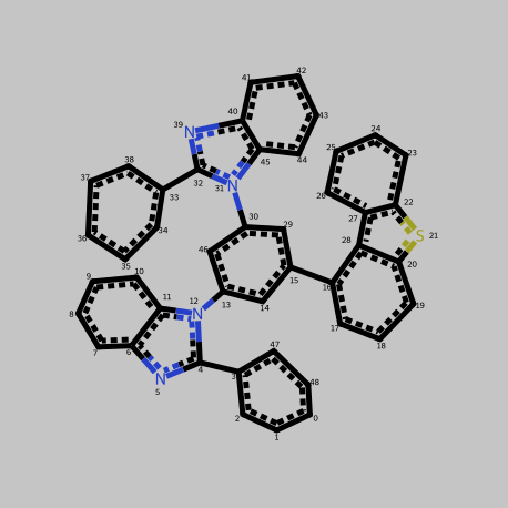 c1ccc(-c2nc3ccccc3n2-c2cc(-c3cccc4sc5ccccc5c34)cc(-n3c(-c4ccccc4)nc4ccccc43)c2)cc1